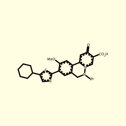 COc1cc2c(cc1-c1ncc(C3CCCCC3)s1)CN(C(C)C)n1cc(C(=O)O)c(=O)cc1-2